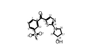 CS(=O)(=O)c1cccc(C(=O)c2cnc(N3CC[C@H](O)C3)s2)c1